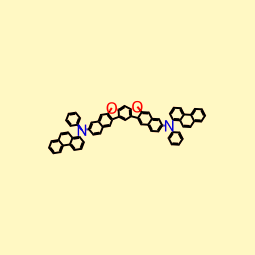 c1ccc(N(c2ccc3cc4c(cc3c2)oc2cc3oc5cc6cc(N(c7ccccc7)c7cccc8c7ccc7ccccc78)ccc6cc5c3cc24)c2cccc3c2ccc2ccccc23)cc1